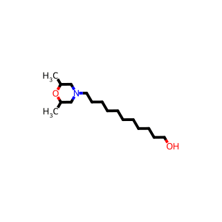 CC1CN(CCCCCCCCCCCO)CC(C)O1